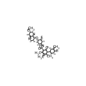 COc1cnc2c(Oc3ccc(NC(=O)c4c(C)n(C)c(C)c(-c5ccc(F)c(C)c5)c4=O)cc3F)ccnc2c1